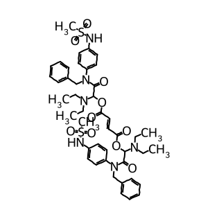 CCN(CC)C(OC(=O)/C=C/C(=O)OC(C(=O)N(Cc1ccccc1)c1ccc(NS(C)(=O)=O)cc1)N(CC)CC)C(=O)N(Cc1ccccc1)c1ccc(NS(C)(=O)=O)cc1